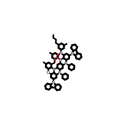 CCCCc1cc(C)cc(N2c3cc(C)cc(I)c3B3c4cc5c(cc4N(c4ccccc4)c4cc(-n6c7ccccc7c7ccccc76)cc2c43)N(c2ccccc2)c2cc(-n3c4ccccc4c4ccccc43)cc3c2B5c2c(CCCC)cc(C)cc2O3)c1